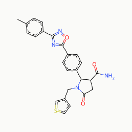 Cc1ccc(-c2noc(-c3ccc(C4C(C(N)=O)CC(=O)N4Cc4ccsc4)cc3)n2)cc1